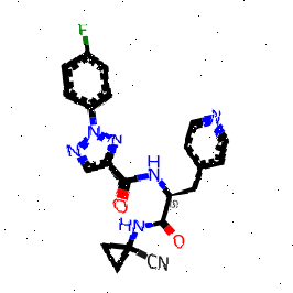 N#CC1(NC(=O)[C@H](Cc2ccncc2)NC(=O)c2cnn(-c3ccc(F)cc3)n2)CC1